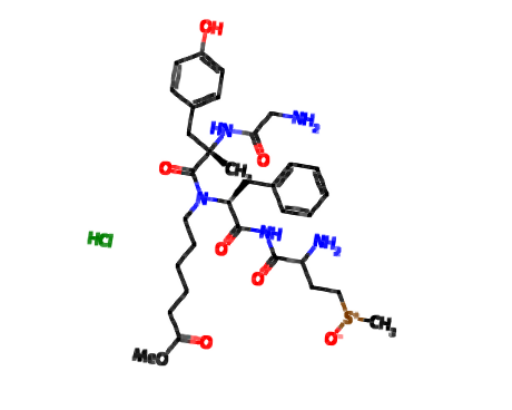 COC(=O)CCCCCN(C(=O)[C@](C)(Cc1ccc(O)cc1)NC(=O)CN)[C@@H](Cc1ccccc1)C(=O)NC(=O)C(N)CC[S+](C)[O-].Cl